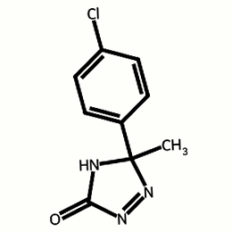 CC1(c2ccc(Cl)cc2)N=NC(=O)N1